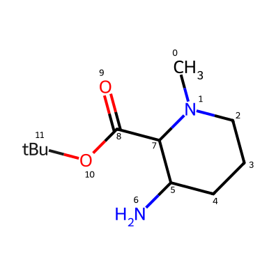 CN1CCCC(N)C1C(=O)OC(C)(C)C